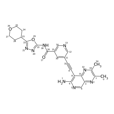 Cc1nc2cnc(N)c(C#Cc3cncc(C(=O)Nc4nnc(C5CCOCC5)o4)c3)c2nc1C